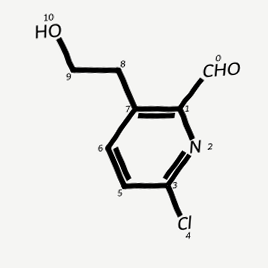 O=Cc1nc(Cl)ccc1CCO